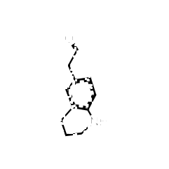 O=CCc1ccc2c(c1)CCCN2